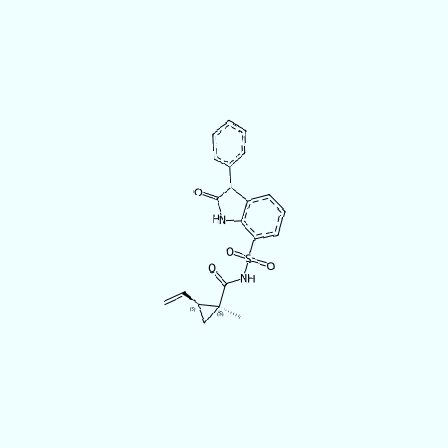 C=C[C@@H]1C[C@]1(C)C(=O)NS(=O)(=O)c1cccc2c1NC(=O)C2c1ccccc1